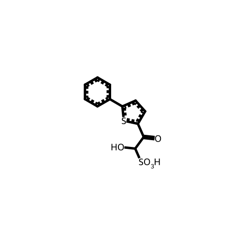 O=C(c1ccc(-c2ccccc2)s1)C(O)S(=O)(=O)O